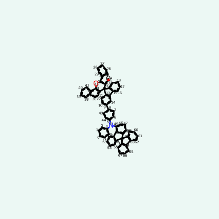 c1ccc(N(c2ccc(-c3ccc4c(c3)-c3ccccc3C43c4ccc5ccccc5c4Oc4c3ccc3ccccc43)cc2)c2cccc3c2-c2ccccc2C32c3ccccc3-c3ccccc32)cc1